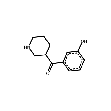 O=C(c1cccc(O)c1)C1C[CH]CNC1